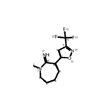 CN1CCCCC(C2CC(C(F)(F)F)=NO2)C1=N